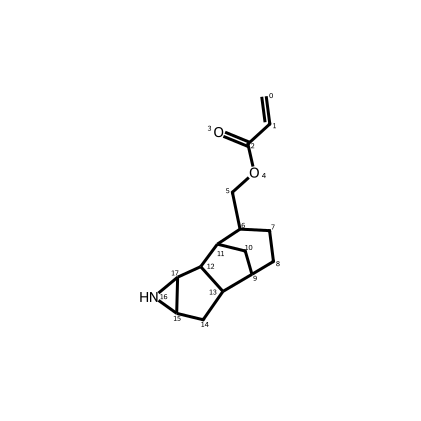 C=CC(=O)OCC1CCC2CC1C1C2CC2NC21